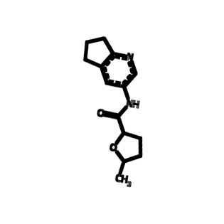 CC1CCC(C(=O)Nc2cnc3c(c2)CCC3)O1